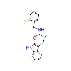 CC(Cc1c[nH]c2ccccc12)C(=O)NCc1ccccc1F